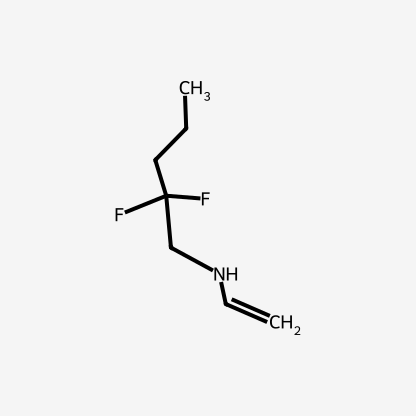 C=CNCC(F)(F)CCC